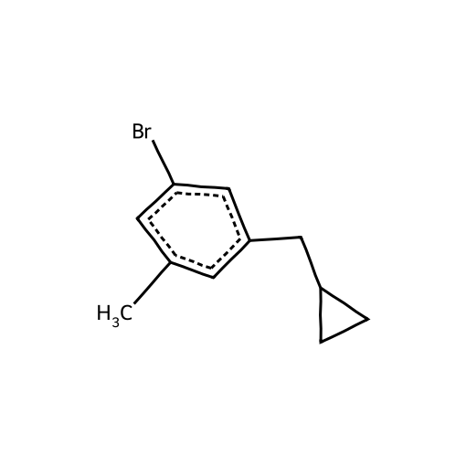 Cc1cc(Br)cc(CC2CC2)c1